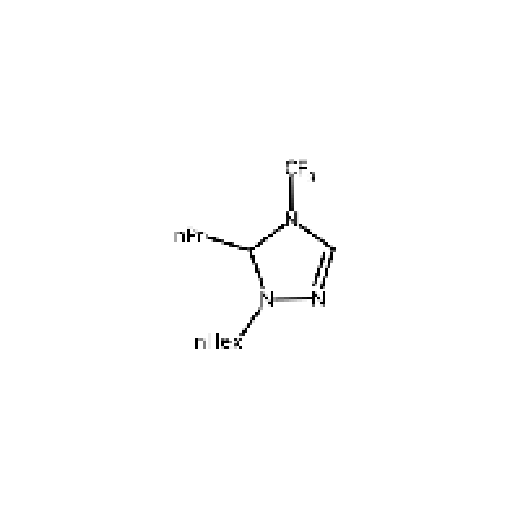 CCCCCCN1N=CN(C(F)(F)F)C1CCC